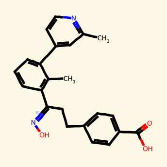 Cc1cc(-c2cccc(/C(CCc3ccc(C(=O)O)cc3)=N/O)c2C)ccn1